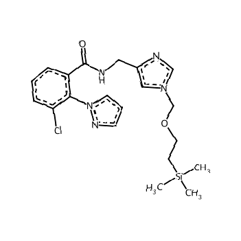 C[Si](C)(C)CCOCn1cnc(CNC(=O)c2cccc(Cl)c2-n2cccn2)c1